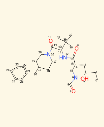 CCCC[C@H](CN(O)C=O)C(=O)N[C@H](C(=O)N1CCC(Cc2ccccc2)CC1)C(C)(C)C